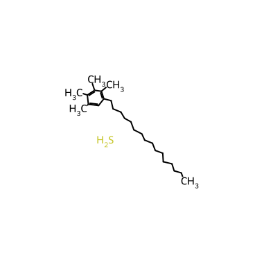 CCCCCCCCCCCCCCCCc1cc(C)c(C)c(C)c1C.S